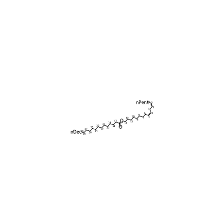 CCCCC/C=C\C/C=C\CCCCCCCCOC(=O)CCCCCCCCCCCCCCCCCCCCCC